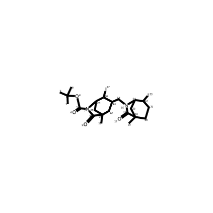 CC(C)(C)OC(=O)N1C(=O)C2(C)CC(CN3C(=O)C4(C)CCC(I)C3C4)C(I)C1C2